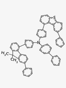 CC1(C)c2cc(-c3ccccc3)ccc2-c2c(-c3ccc(N(c4ccc(-c5ccccc5)cc4)c4ccc(-c5cccc6sc7ccc(-c8ccccc8)cc7c56)cc4)cc3)cccc21